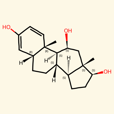 C[C@]12C=CC(O)=C[C@H]1CC[C@@H]1[C@@H]2[C@@H](O)C[C@]2(C)[C@@H](O)CC[C@@H]12